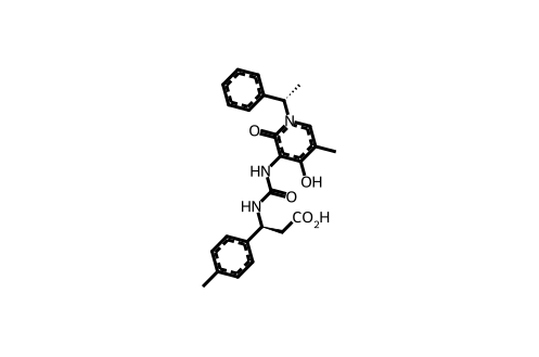 Cc1ccc([C@H](CC(=O)O)NC(=O)Nc2c(O)c(C)cn([C@@H](C)c3ccccc3)c2=O)cc1